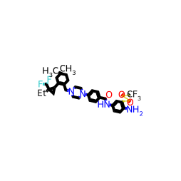 CCC1(C(F)F)CC1C1=C(CN2CCN(c3ccc(C(=O)Nc4ccc(N)c(S(=O)(=O)C(F)(F)F)c4)cc3)CC2)CCC(C)(C)C1